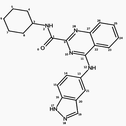 O=C(NC1CCCCC1)c1nc(Nc2ccc3[nH]ncc3c2)c2ccccc2n1